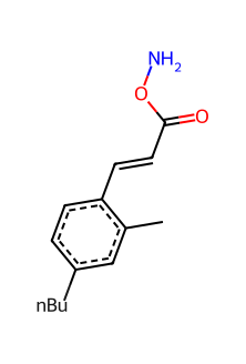 CCCCc1ccc(C=CC(=O)ON)c(C)c1